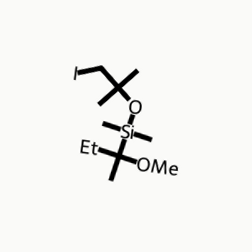 CCC(C)(OC)[Si](C)(C)OC(C)(C)CI